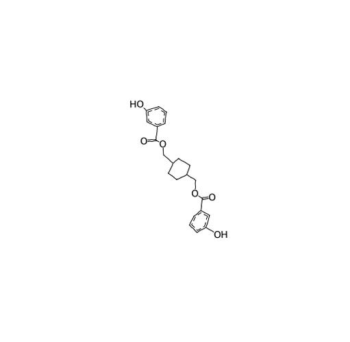 O=C(OCC1CCC(COC(=O)c2cccc(O)c2)CC1)c1cccc(O)c1